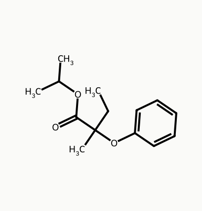 CCC(C)(Oc1ccccc1)C(=O)OC(C)C